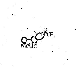 COc1cc2c(cc1-c1ccccc1C=O)[C@@H](C)CN(C(=O)C(F)(F)F)CC2